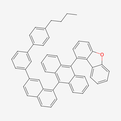 CCCCc1ccc(-c2cccc(-c3ccc4cccc(-c5c6ccccc6c(-c6cccc7oc8ccccc8c67)c6ccccc56)c4c3)c2)cc1